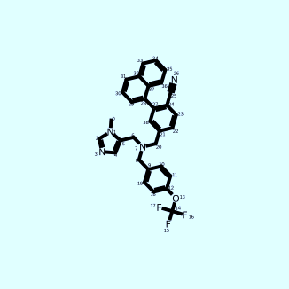 Cn1cncc1CN(Cc1ccc(OC(F)(F)F)cc1)Cc1ccc(C#N)c(-c2cccc3ccccc23)c1